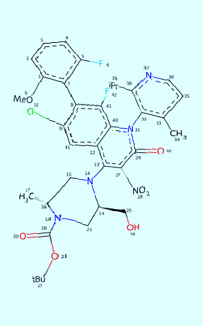 COc1cccc(F)c1-c1c(Cl)cc2c(N3C[C@@H](C)N(C(=O)OC(C)(C)C)C[C@@H]3CO)c([N+](=O)[O-])c(=O)n(-c3c(C)ccnc3C(C)C)c2c1F